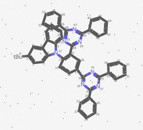 CC(C)(C)c1ccc2c(c1)c1ccccc1n2-c1ccc(-c2nc(-c3ccccc3)nc(-c3ccccc3)n2)cc1-c1nc(-c2ccccc2)nc(-c2ccccc2)n1